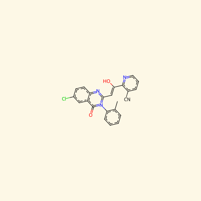 Cc1ccccc1-n1c(C=C(O)c2ncccc2C#N)nc2ccc(Cl)cc2c1=O